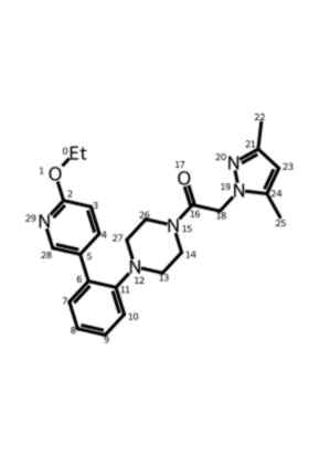 CCOc1ccc(-c2ccccc2N2CCN(C(=O)Cn3nc(C)cc3C)CC2)cn1